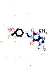 Cn1cnc2c1c(=O)n(CC[C@H]1CC[C@](O)(C(F)(F)F)CC1)c(=O)n2C